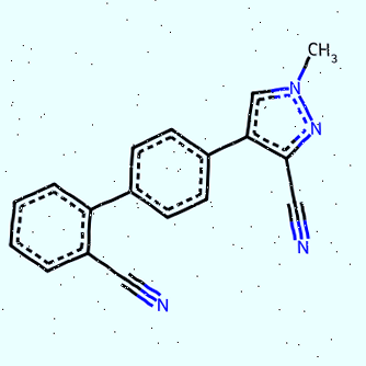 Cn1cc(-c2ccc(-c3ccccc3C#N)cc2)c(C#N)n1